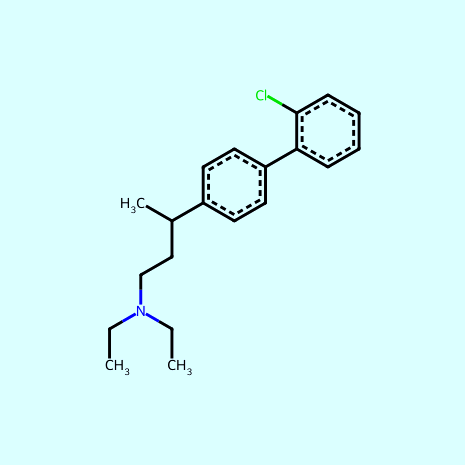 CCN(CC)CCC(C)c1ccc(-c2ccccc2Cl)cc1